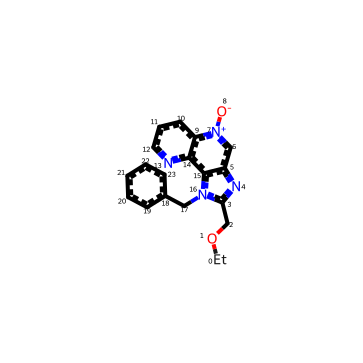 CCOCc1nc2c[n+]([O-])c3cccnc3c2n1Cc1ccccc1